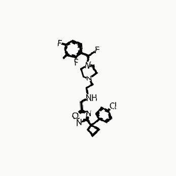 Cc1c(F)ccc(C(F)N2CCN(CCNCc3nc(C4(c5ccc(Cl)cc5)CCC4)no3)CC2)c1F